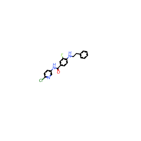 O=C(Nc1ccc(Cl)nc1)c1ccc(NCCc2ccccc2)c(F)c1